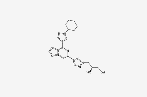 OC[C@@H](O)Cn1cc(-c2cn3nccc3c(-c3cnn(C4CCCCC4)c3)n2)cn1